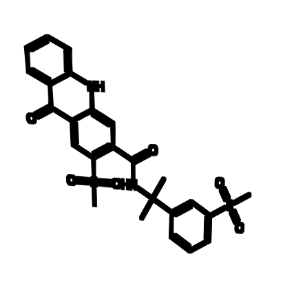 CC(C)(NC(=O)c1cc2[nH]c3ccccc3c(=O)c2cc1S(C)(=O)=O)c1cccc(S(C)(=O)=O)c1